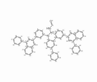 O=CNC(=O)N(c1cccc(-c2nc(-c3ccccc3)c3ccccc3n2)c1)c1ccc(-c2ccccc2)cc1-c1cccc(-c2nc(-c3ccccc3)c3ccccc3n2)c1